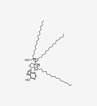 CCCCCCCCCCCCCCCCC(=O)C(O)[C@H]1O[C@@H](n2cnc3c(O)ncnc32)[C@@](O)(C(=O)CCCCCCCCCCCCCCCC)[C@@]1(O)C(=O)CCCCCCCCCCCCCCCC